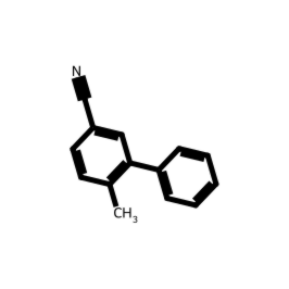 Cc1ccc(C#N)cc1-c1ccccc1